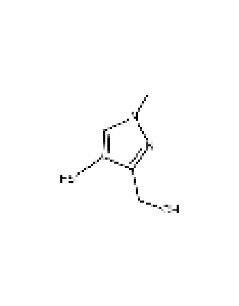 Cn1cc(S)c(CO)n1